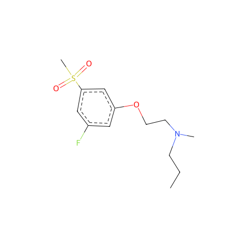 CCCN(C)CCOc1cc(F)cc(S(C)(=O)=O)c1